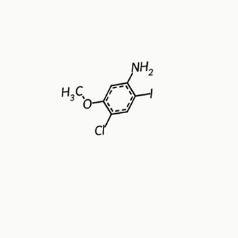 COc1cc(N)c(I)cc1Cl